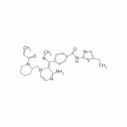 C=CC(=O)N1CCCCC1CN1C=CN=C(N)/C1=C(/N=C)c1ccc(C(=O)Nc2ncc(CC)s2)cc1